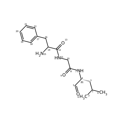 CC(C)C[C@H](C=O)NC(=O)CNC(=O)C(N)Cc1ccccc1